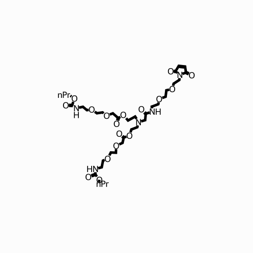 CCCOC(=O)NCCOCCOCC(=O)OCCN(CCOC(=O)COCCOCCNC(=O)OCCC)CC(=O)NCCOCCOCCN1C(=O)C=CC1=O